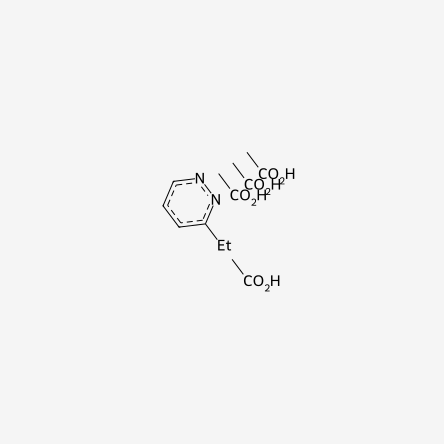 CC(=O)O.CC(=O)O.CC(=O)O.CC(=O)O.CCc1cccnn1